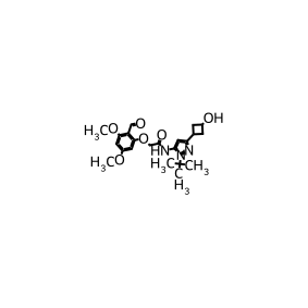 COc1cc(OC)c(C=O)c(OCC(=O)Nc2cc(C3CC(O)C3)nn2C(C)(C)C)c1